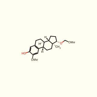 COCO[C@H]1CC[C@H]2[C@@H]3CCc4cc(O)c(OC)cc4[C@H]3CC[C@]12C